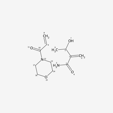 C=C(C(N)=O)C(C)O.C=CC(=O)N1CCOCC1